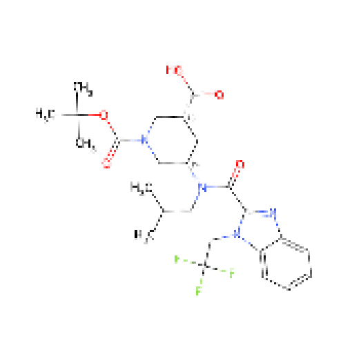 CC(C)CN(C(=O)c1nc2ccccc2n1CC(F)(F)F)[C@H]1C[C@@H](C(=O)O)CN(C(=O)OC(C)(C)C)C1